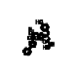 CN(Cc1cn([C@H](CC(=O)NO)Cc2ccc(O)cc2)nn1)S(=O)(=O)c1ccc(-c2ccccc2)s1